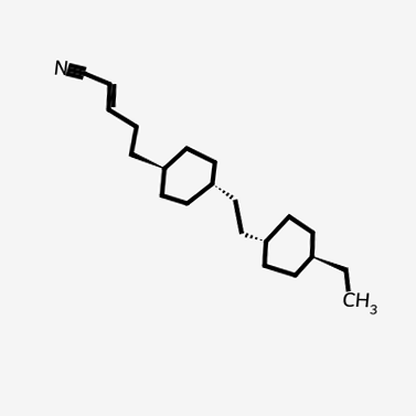 CC[C@H]1CC[C@H](CC[C@H]2CC[C@H](CCC=CC#N)CC2)CC1